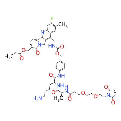 CCC(=O)OCc1ccc2n(c1=O)Cc1c-2nc2cc(F)c(C)cc2c1CNC(=O)OCc1ccc(NC(=O)[C@H](CCCCN)NC(=O)[C@H](C)NC(=O)CCOCCOCCN2C(=O)C=CC2=O)cc1